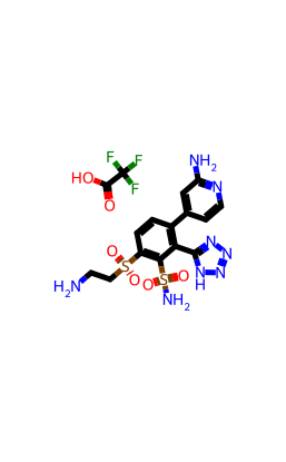 NCCS(=O)(=O)c1ccc(-c2ccnc(N)c2)c(-c2nnn[nH]2)c1S(N)(=O)=O.O=C(O)C(F)(F)F